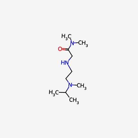 CC(C)N(C)CCNCC(=O)N(C)C